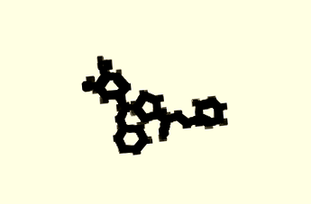 N#Cc1ccc(N(CC2CCCCC2)[C@H]2CCN(C(=O)CCc3ccccc3)C2)cc1Cl